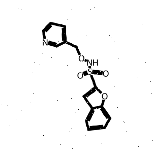 O=S(=O)(NOCc1cccnc1)c1cc2ccccc2o1